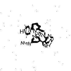 CNc1cncc(-c2c[nH]c3ncnc(NCc4cccc(N5C[C@@H](C)N[C@@H](C)C5)n4)c23)c1